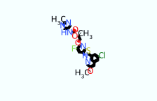 COc1cnc2c(-c3nc4cc(F)c(OC[C@@H](C)OC(=O)Nc5cnc(C)nc5)nc4s3)cc(Cl)cc2c1